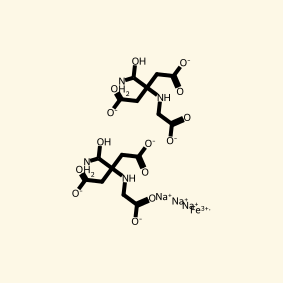 NC(O)C(CC(=O)[O-])(CC(=O)[O-])NCC(=O)[O-].NC(O)C(CC(=O)[O-])(CC(=O)[O-])NCC(=O)[O-].[Fe+3].[Na+].[Na+].[Na+]